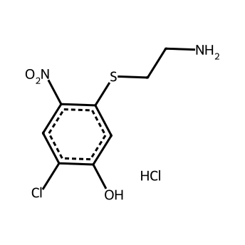 Cl.NCCSc1cc(O)c(Cl)cc1[N+](=O)[O-]